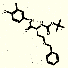 Cc1cc(NC(=O)[C@H](CCOCc2ccccc2)NC(=O)OC(C)(C)C)ccc1Cl